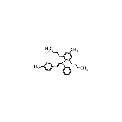 CCCCc1cc(C)cc(CCCC)c1N(C=Cc1ccc(C)cc1)c1ccccc1